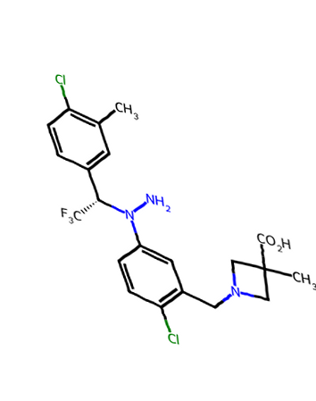 Cc1cc([C@H](N(N)c2ccc(Cl)c(CN3CC(C)(C(=O)O)C3)c2)C(F)(F)F)ccc1Cl